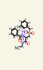 N#CCNC(=O)C(CS(=O)(=O)Cc1cccc(F)c1)NC(=O)c1ccccc1